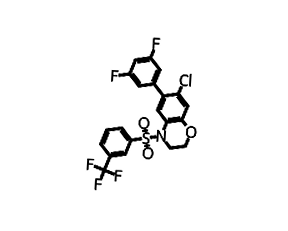 O=S(=O)(c1cccc(C(F)(F)F)c1)N1CCOc2cc(Cl)c(-c3cc(F)cc(F)c3)cc21